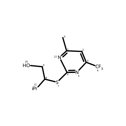 Cc1cc(C(F)(F)F)nc(SC(CO)C(C)C)n1